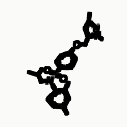 Cc1ccc(N(CC(C)C)S(=O)(=O)c2ccc(OCc3cc(C)nn3C)cc2)c(C)c1